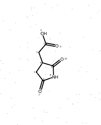 O=C(O)CC1CC(=O)NC1=O